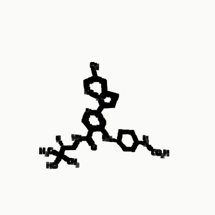 CC(C)(O)[C@H](F)CNC(=O)c1cnc(-c2ccc3cc(C#N)cnn23)cc1N[C@H]1CC[C@H](NC(=O)O)CC1